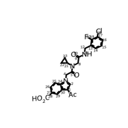 CC(=O)c1cn(CC(=O)N(CC(=O)NCc2cccc(Cl)c2F)C2CC2)c2ccc(C(=O)O)cc12